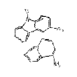 CCn1c2ccccc2c2cc(N)ccc21.Nc1cccc2ccccc12